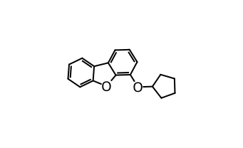 c1ccc2c(c1)oc1c(OC3CCCC3)cccc12